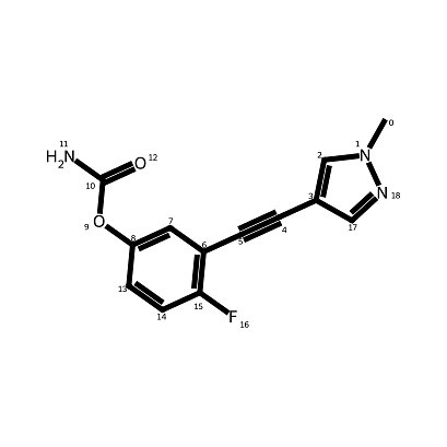 Cn1cc(C#Cc2cc(OC(N)=O)ccc2F)cn1